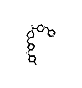 Cc1ccc(Oc2cccc(CN3CCN(C(=O)C4CCN(Cc5ccncc5)CC4)CC3)c2)cc1